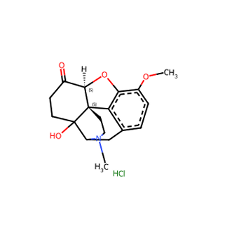 COc1ccc2c3c1O[C@@H]1C(=O)CCC4(O)C(C2)N(C)CC[C@]314.Cl